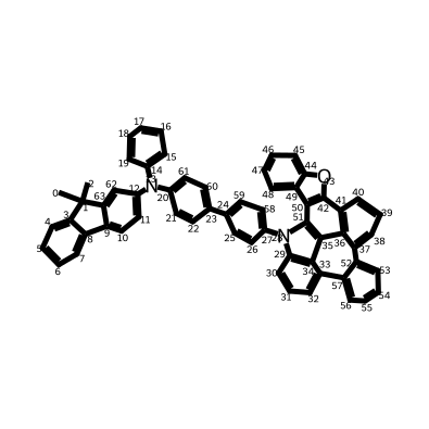 CC1(C)c2ccccc2-c2ccc(N(c3ccccc3)c3ccc(-c4ccc(-n5c6cccc7c6c6c8c(cccc8c8oc9ccccc9c8c65)-c5ccccc5-7)cc4)cc3)cc21